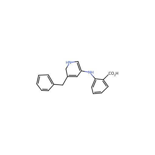 O=C(O)c1ccccc1NC1=CNCC(Cc2ccccc2)=C1